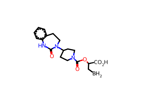 BCC(OC(=O)N1CCC(N2CCc3ccccc3NC2=O)CC1)C(=O)O